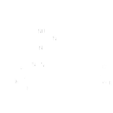 O=C(O)/C=C/c1cccc(-c2cnc(Nc3ccc4c(c3)CCC4)nc2-n2ccc(C(F)(F)F)n2)c1